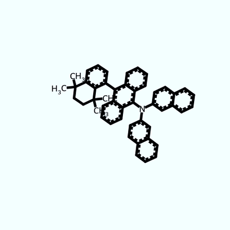 CC1(C)CCC(C)(C)c2c(-c3c4ccccc4c(N(c4ccc5ccccc5c4)c4ccc5ccccc5c4)c4ccccc34)cccc21